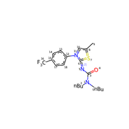 CCCCN(CCCC)C(=O)/N=c1\sc(C)cn1-c1ccc(C(F)(F)F)cc1